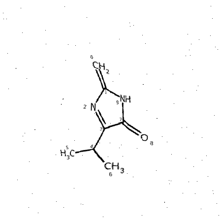 C=C1N=C(C(C)C)C(=O)N1